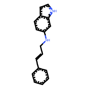 C(=Cc1ccccc1)CNc1ccc2cc[nH]c2c1